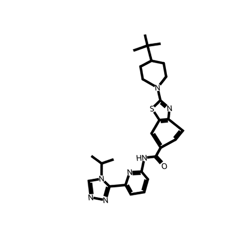 CC(C)n1cnnc1-c1cccc(NC(=O)c2ccc3nc(N4CCC(C(C)(C)C)CC4)sc3c2)n1